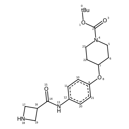 CC(C)(C)OC(=O)N1CCC(Oc2ccc(NC(=O)C3CNC3)cc2)CC1